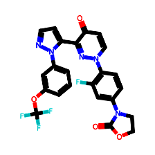 O=C1OCCN1c1ccc(-n2ccc(=O)c(-c3ccnn3-c3cccc(OC(F)(F)F)c3)n2)c(F)c1